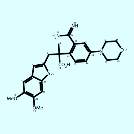 COc1cc2cc(CC(C)(C(=O)O)c3ccc(N4CCOCC4)cc3C(=N)N)sc2cc1OC